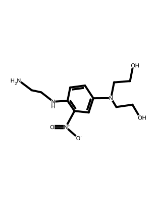 NCCNc1ccc(N(CCO)CCO)cc1[N+](=O)[O-]